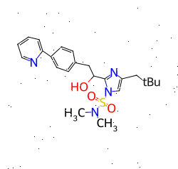 CN(C)S(=O)(=O)n1cc(CC(C)(C)C)nc1C(O)Cc1ccc(-c2ccccn2)cc1